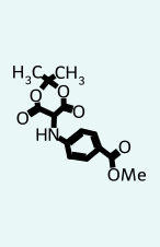 COC(=O)c1ccc(NC2C(=O)OC(C)(C)OC2=O)cc1